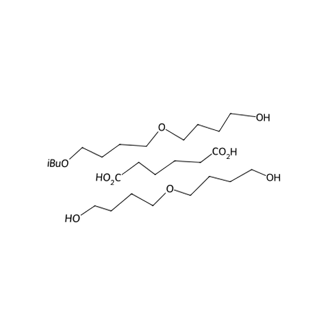 CC(C)COCCCCOCCCCO.O=C(O)CCCCC(=O)O.OCCCCOCCCCO